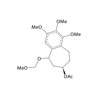 COCOC1C[C@H](OC(C)=O)CCc2c1cc(OC)c(OC)c2OC